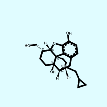 [O-][N@+]1(CC2CC2)CC[C@]23c4c5ccc(O)c4O[C@H]2[C@@H](CO)CC[C@@]3(O)[C@H]1C5